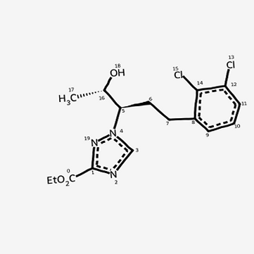 CCOC(=O)c1ncn([C@H](CCc2cccc(Cl)c2Cl)[C@H](C)O)n1